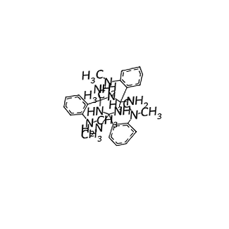 CN(C)c1ccccc1C1(N)NC(N)(c2ccccc2N(C)C)NC(N)(c2ccccc2N(C)C)N1